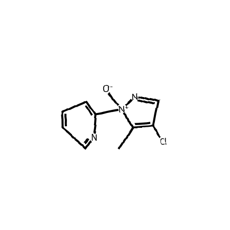 CC1=C(Cl)C=N[N+]1([O-])c1ccccn1